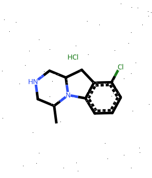 CC1CNCC2Cc3c(Cl)cccc3N12.Cl